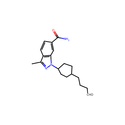 Cc1nn(C2CCC(CCCC=O)CC2)c2cc(C(N)=O)ccc12